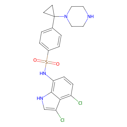 O=S(=O)(Nc1ccc(Cl)c2c(Cl)c[nH]c12)c1ccc(C2(N3CCNCC3)CC2)cc1